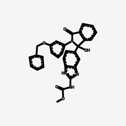 COC(=O)Nc1nc2cc(C3(O)c4ccccc4C(=O)N3c3cccc(OCc4ccccc4)c3)ccc2[nH]1